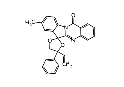 C=CC1(c2ccccc2)COC2(O1)c1cc(C)ccc1-n1c2nc2ccccc2c1=O